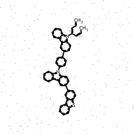 C=C/C=C(\C=C/C)n1c2ccccc2c2cc(-c3ccc(-n4c5ccccc5c5cc(-c6ccc7sc8ccccc8c7c6)ccc54)cc3)ccc21